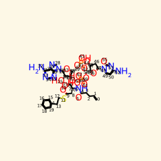 C=CCCC(=O)N[C@@H](CC(=O)SCCc1ccccc1)C(=O)O[C@H]1[C@@H](O)[C@H](n2cnc3c(N)ncnc32)O[C@@H]1COP(=O)(O)O[C@H]1C[C@H](n2ccc(N)nc2=O)O[C@@H]1COP(=O)(O)O